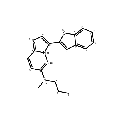 CCCN(C)c1ccc2ncc(-c3cc4ccccc4s3)n2n1